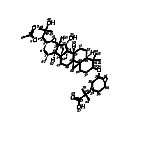 CC(=O)O[C@@H]([C@H]1C[C@@H](C)[C@H]2[C@H](O1)[C@H](O)[C@@]1(C)[C@@H]3CC[C@H]4C(C)(C)C(O[C@H]5CN(C(C)(C)C(=O)O)CCO5)CCC45C[C@@]35CC[C@]21C)C(C)(C)O